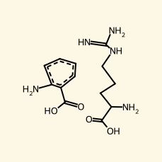 N=C(N)NCCCC(N)C(=O)O.Nc1ccccc1C(=O)O